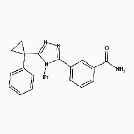 CC(C)n1c(-c2cccc(C(N)=O)c2)nnc1C1(c2ccccc2)CC1